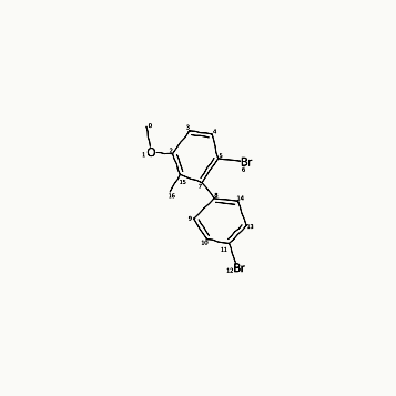 COc1ccc(Br)c(-c2ccc(Br)cc2)c1C